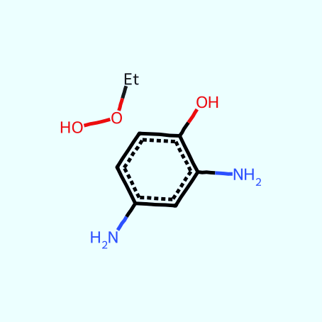 CCOO.Nc1ccc(O)c(N)c1